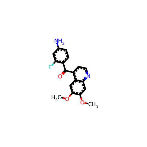 COc1cc2nccc(C(=O)c3ccc(N)cc3F)c2cc1OC